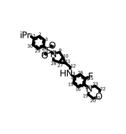 CC(C)c1ccc(S(=O)(=O)N2CC3C(CNc4ccc(N5CCOCC5)c(F)c4)C3C2)cc1